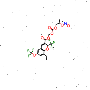 CCc1cc(OC(F)(F)F)cc2c1OC(C(F)(F)F)C(C(=O)OCOC(=O)OCC(C)ON=O)=C2